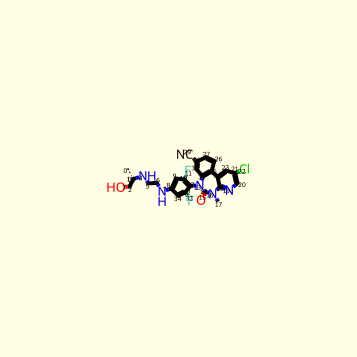 C[C@@H](CO)NCCNc1cc(F)c(N2C(=O)N(C)c3ncc(Cl)cc3-c3ccc(C#N)cc32)c(F)c1